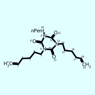 C=CCCCCn1c(=O)n(CCCCC)c(=O)n(CCCCC=C)c1=O